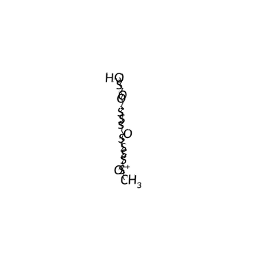 CCC[S+]([O-])CCSCSCSCCSC(=O)CCSCSCSCCCOOCCSCO